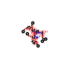 CC(=O)NC1C(C)C(O[C@@H]2OC3COC(c4ccccc4)O[C@@H]3[C@H](C)C2C)[C@H](COCc2ccccc2)O[C@H]1OCC1O[C@H](ON[C@H](C(=O)C(=O)OCC2c3ccccc3-c3ccccc32)[C@@H](C)O)C(C)[C@@H](O[C@@H]2OC(COCc3ccccc3)[C@@H](O[C@@H]3OC(COCc4ccccc4)[C@H](C)[C@H](C)C3C)[C@H](C)C2NC(C)=O)[C@H]1O